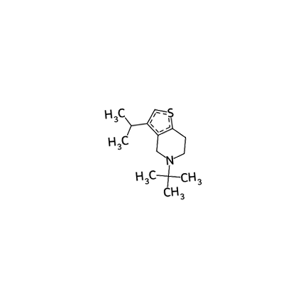 CC(C)c1csc2c1CN(C(C)(C)C)CC2